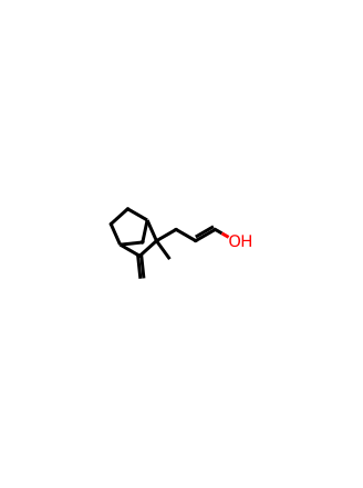 C=C1C2CCC(C2)C1(C)CC=CO